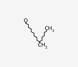 C=C(CCCCCC)CCCCCCCCC=O